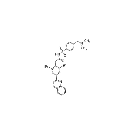 CC(C)c1cc(-c2ccc3ccccc3n2)cc(C(C)C)c1CC(=O)NS(=O)(=O)c1ccc(CN(C)C)cc1